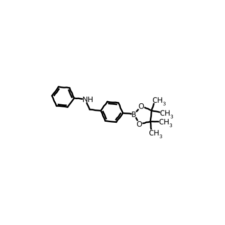 CC1(C)OB(c2ccc(CNc3ccccc3)cc2)OC1(C)C